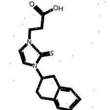 O=C(O)CCn1ccn(C2CCc3ccccc3C2)c1=S